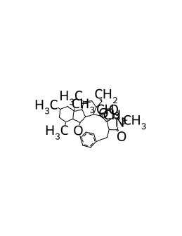 C=CC1(C)C=C(C)C2C3C(Oc4ccc(cc4)CC4C(=O)N(C)C(=O)C4(C)C(=O)C31)C1C(C)CC(C)CC21C